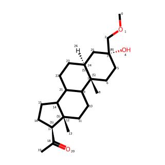 COC[C@@]1(O)CC[C@]2(C)C3CC[C@@]4(C)C(CC[C@@H]4C(C)=O)C3CC[C@H]2C1